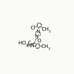 Cc1ccc2[nH]c(C(=O)O)c(CC(=O)N3CCN(c4c(C)cccc4Cl)CC3)c2c1